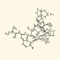 C#Cc1c(F)ccc2cc(OC(=O)N(C)C)cc(-c3nc4c5c(nc(OC[C@@]67CCCN6C[C@H](F)C7)nc5c3F)N3C[C@H]5CC[C@@H]([C@@H]3[C@@H](C)C4)N5Cc3oc(=O)oc3C)c12